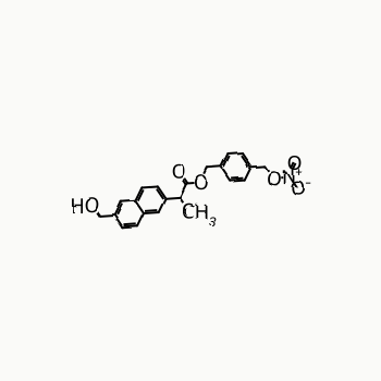 CC(C(=O)OCc1ccc(CO[N+](=O)[O-])cc1)c1ccc2cc(CO)ccc2c1